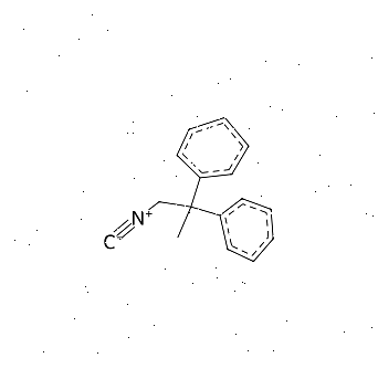 [C-]#[N+]CC(C)(c1ccccc1)c1ccccc1